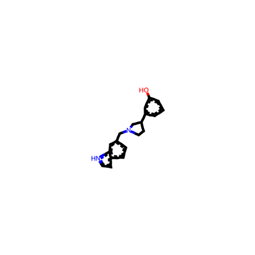 Oc1cccc(C2CCN(Cc3ccc4cc[nH]c4c3)C2)c1